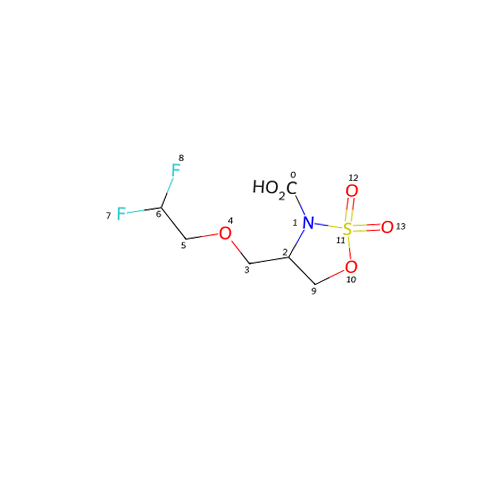 O=C(O)N1C(COCC(F)F)COS1(=O)=O